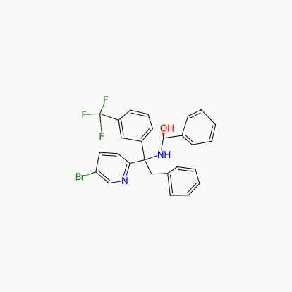 O[C@H](NC(Cc1ccccc1)(c1cccc(C(F)(F)F)c1)c1ccc(Br)cn1)c1ccccc1